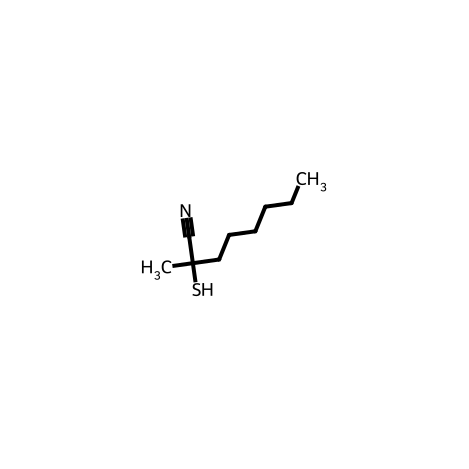 CCCCCCC(C)(S)C#N